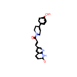 O=C1CCc2cc(C=CC(=O)N3CC=C(c4ccc(O)cc4)CC3)cnc2N1